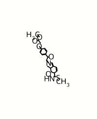 COC(=O)COc1ccc(C(=O)CN2C=C3C=CC(C(=N)SC)C(=O)C3C2)cc1